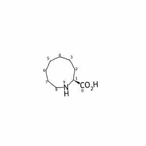 O=C(O)[C@@H]1CCCCCCCN1